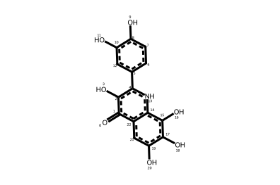 O=c1c(O)c(-c2ccc(O)c(O)c2)[nH]c2c(O)c(O)c(O)cc12